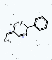 C/C=C(C)\C=N/C(C)c1ccccc1